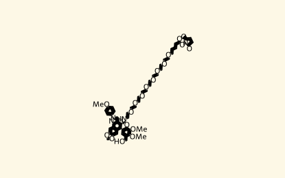 COc1ccc(N2C[C@@H]3C(=N2)c2cc4c(cc2[C@@H](c2cc(CO)c(OC)c(OC)c2)[C@H]3C(=O)NCCOCCOCCOCCOCCOCCOCCOCCOCCCCC(=O)ON2C(=O)CCC2=O)OCO4)cc1